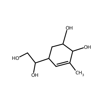 CC1=CC(C(O)CO)CC(O)C1O